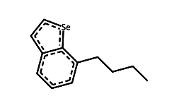 CCCCc1cccc2cc[se]c12